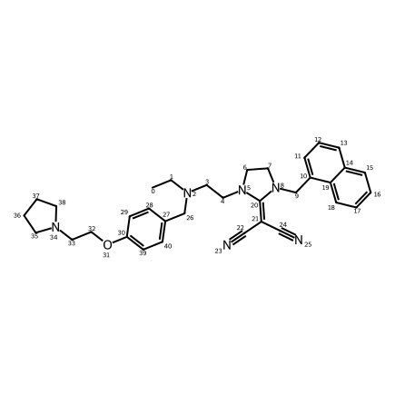 CCN(CCN1CCN(Cc2cccc3ccccc23)C1=C(C#N)C#N)Cc1ccc(OCCN2CCCC2)cc1